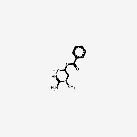 CC(CN(C)C(=N)N)OC(=O)c1ccccc1